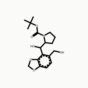 CC(C)(C)OC(=O)N1CCCC1C(O)c1c(CO)ccc2c1OCO2